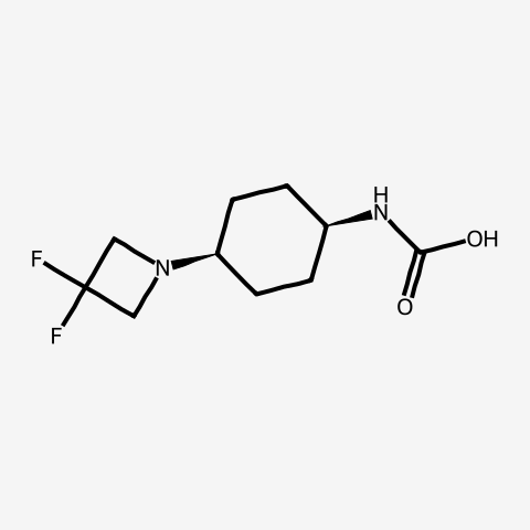 O=C(O)N[C@H]1CC[C@@H](N2CC(F)(F)C2)CC1